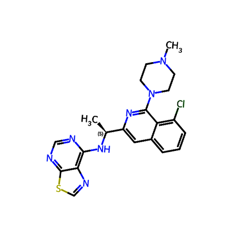 C[C@H](Nc1ncnc2scnc12)c1cc2cccc(Cl)c2c(N2CCN(C)CC2)n1